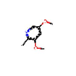 [CH2]c1ncc(OC)cc1OC